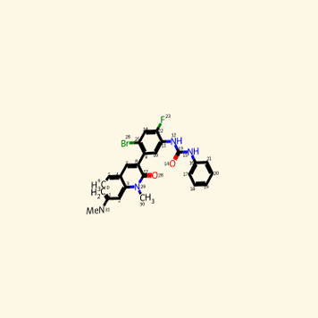 C=C(/C=c1\c(=C/C)cc(-c2cc(NC(=O)Nc3ccccc3)c(F)cc2Br)c(=O)n1C)NC